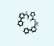 CC(C)(C)OC(=O)N1CCC[C@H]1C(=O)Nc1nccc(-c2ccccc2)n1.Nc1nccc(-c2ccccc2)n1